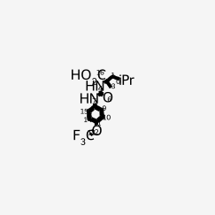 CC(C)C[C@](C)(NC(=O)Nc1ccc(OC(F)(F)F)cc1)C(=O)O